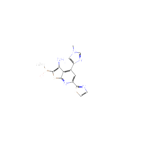 CCCC[S+]([O-])c1sc2nc(-c3nccs3)cc(-c3cn(C)cn3)c2c1N